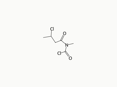 CC(Cl)CC(=O)N(C)C(=O)Cl